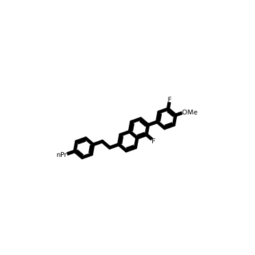 CCCc1ccc(CCc2ccc3c(F)c(-c4ccc(OC)c(F)c4)ccc3c2)cc1